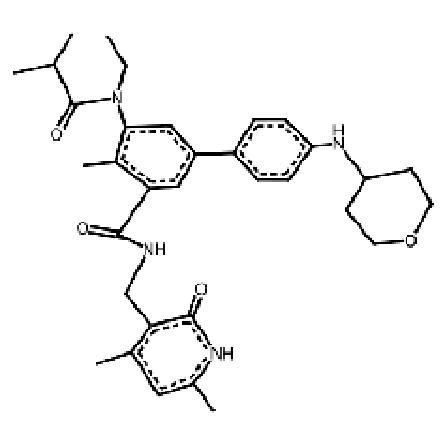 CCN(C(=O)C(C)C)c1cc(-c2ccc(NC3CCOCC3)cc2)cc(C(=O)NCc2c(C)cc(C)[nH]c2=O)c1C